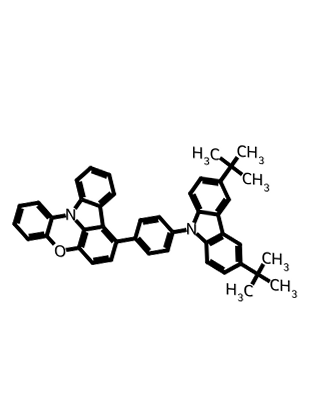 CC(C)(C)c1ccc2c(c1)c1cc(C(C)(C)C)ccc1n2-c1ccc(-c2ccc3c4c2c2ccccc2n4-c2ccccc2O3)cc1